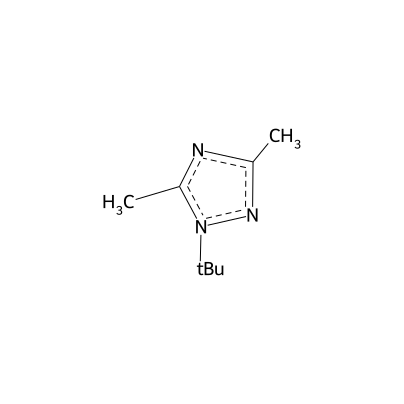 Cc1nc(C)n(C(C)(C)C)n1